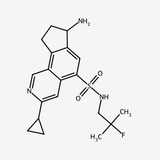 CC(C)(F)CNS(=O)(=O)c1cc2c(c3cnc(C4CC4)cc13)CCC2N